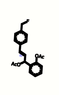 CC(=O)Oc1ccccc1C(/C=C/c1ccc(CF)cc1)OC(C)=O